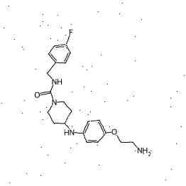 NCCOc1ccc(NC2CCN(C(=O)NCc3ccc(F)cc3)CC2)cc1